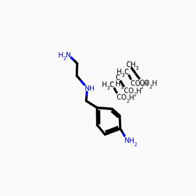 CC(=O)O.CC(=O)O.CC(=O)O.CC(=O)O.NCCNCc1ccc(N)cc1